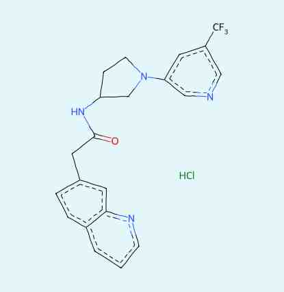 Cl.O=C(Cc1ccc2cccnc2c1)NC1CCN(c2cncc(C(F)(F)F)c2)C1